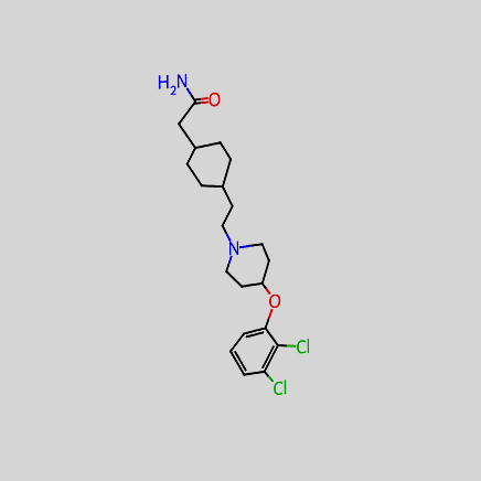 NC(=O)CC1CCC(CCN2CCC(Oc3cccc(Cl)c3Cl)CC2)CC1